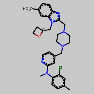 Cc1ccc(N(C)c2cc(CN3CCN(Cc4nc5ccc(C(=O)O)cc5n4C[C@@H]4CCO4)CC3)ccn2)c(Cl)c1